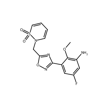 COc1c(N)cc(F)cc1-c1noc(CN2C=CC=CS2(=O)=O)n1